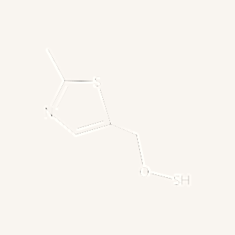 Cc1ncc(COS)s1